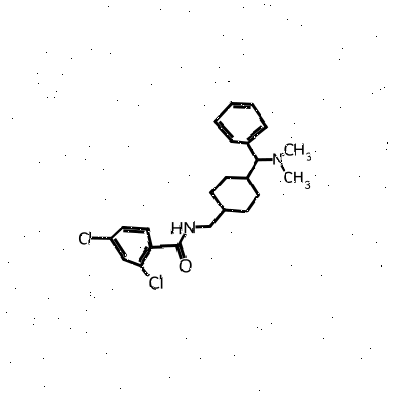 CN(C)C(c1ccccc1)C1CCC(CNC(=O)c2ccc(Cl)cc2Cl)CC1